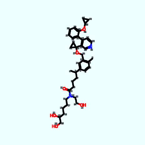 Cc1ccc(C(C)CCCC(=O)N(CCO)CCCCC(O)CO)cc1COC1(c2cnccc2-c2ccccc2OC2CC2)CC1